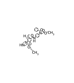 CCCCOC(=O)[C@H]1CNCCN1c1ccc(C(=O)Nc2ccc(N(CC(=O)OCC)C(=O)c3ccccc3)cc2)c(C)c1